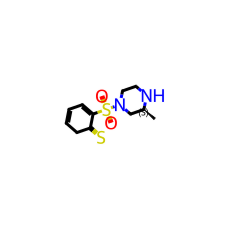 C[C@H]1CN(S(=O)(=O)C2=CC=CCC2=S)CCN1